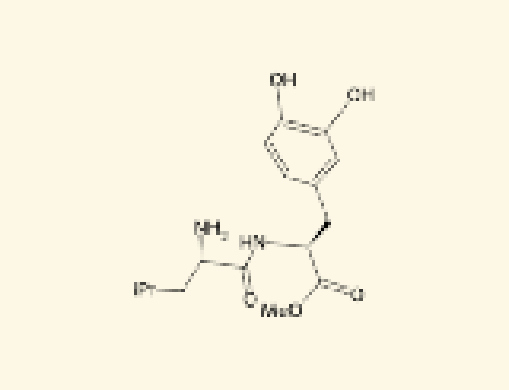 COC(=O)[C@H](Cc1ccc(O)c(O)c1)NC(=O)[C@@H](N)CC(C)C